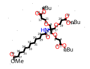 CCCCOC(=O)CCOCC(COCCC(=O)OCCCC)(COCCC(=O)OCCCC)NC(=O)CCCCCCCCCCC(=O)OC